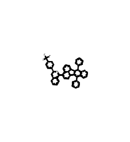 FC(F)(F)c1ccc(-c2cc3ccccc3c(-c3ccc4c5c(cccc35)-c3c-4c(-c4ccccc4)c4ccccc4c3-c3ccccc3)n2)cc1